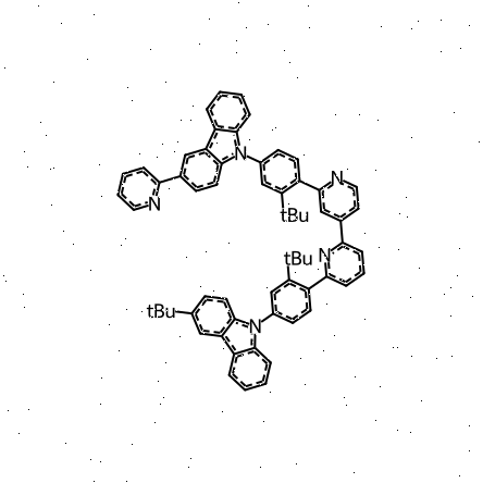 CC(C)(C)c1ccc2c(c1)c1ccccc1n2-c1ccc(-c2cccc(-c3ccnc(-c4ccc(-n5c6ccccc6c6cc(-c7ccccn7)ccc65)cc4C(C)(C)C)c3)n2)c(C(C)(C)C)c1